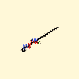 CCCCCCCCCCCCCCCCCCNC(=O)OCC(COC(=O)NCC[n+]1ccccc1)OC.[Cl-]